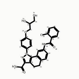 NC(=O)c1nn(-c2ccc(OCC(O)CO)cc2)c2c1CCc1ccc(NC(=O)c3ccccc3Cl)cc1-2